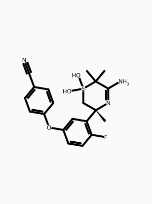 CC1(C)C(N)=N[C@](C)(c2cc(Oc3ccc(C#N)cc3)ccc2F)CS1(O)O